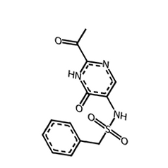 CC(=O)c1ncc(NS(=O)(=O)Cc2ccccc2)c(=O)[nH]1